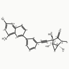 [2H]c1nc(N)c2nc(-c3cccc(C#C[C@]4(O)C(=O)N(C)[C@H]5C[C@H]54)c3)ccc2n1